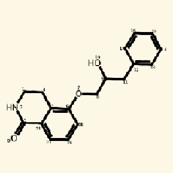 O=C1NCCc2c(OCC(O)Cc3ccccc3)cccc21